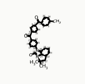 Cc1ccc(C(=O)c2ccc(C(=O)c3ccc(-n4c(=O)n5c6c(cccc64)CC5(C)C)cc3)cc2)cc1